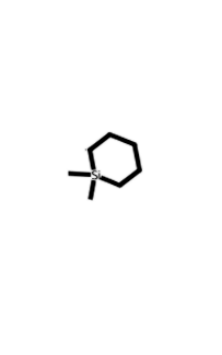 C[Si]1(C)[CH]CCCC1